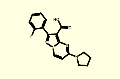 O=C(O)c1c(-c2ccccc2F)nn2ccc(N3CCCC3)nc12